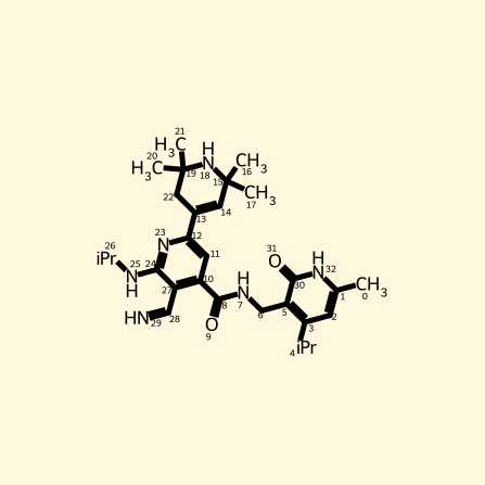 Cc1cc(C(C)C)c(CNC(=O)c2cc(C3=CC(C)(C)NC(C)(C)C3)nc(NC(C)C)c2C=N)c(=O)[nH]1